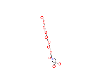 COCCOCCOCCOCCOCCOCCOCCOCCC(=O)N1CCC(CC=O)(CC=O)CC1